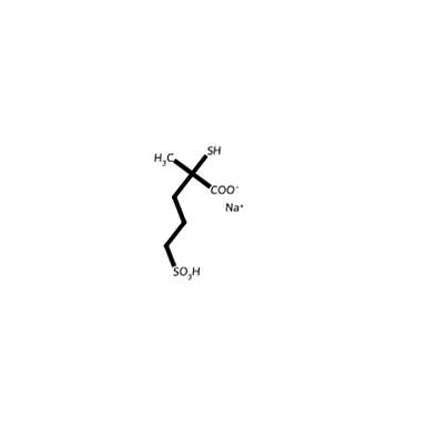 CC(S)(CCCS(=O)(=O)O)C(=O)[O-].[Na+]